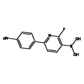 CCCc1ccc(-c2ccc(B(O)O)c(F)n2)cc1